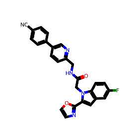 N#Cc1ccc(-c2ccc(CNC(=O)Cn3c(-c4ncco4)cc4cc(F)ccc43)nc2)cc1